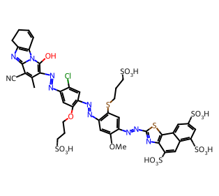 COc1cc(N=Nc2cc(Cl)c(N=Nc3c(C)c(C#N)c4nc5c(n4c3O)C=CCC5)cc2OCCCS(=O)(=O)O)c(SCCCS(=O)(=O)O)cc1N=Nc1nc2c(S(=O)(=O)O)cc3c(S(=O)(=O)O)cc(S(=O)(=O)O)cc3c2s1